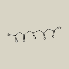 CCCC(=O)CC(=O)CC(=O)CC(=O)CC(=O)CC